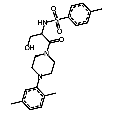 Cc1ccc(S(=O)(=O)NC(CO)C(=O)N2CCN(c3cc(C)ccc3C)CC2)cc1